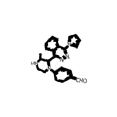 CC1NCCN(c2ccc(C=O)cc2)C1c1nnc(-n2cccc2)c2ccccc12